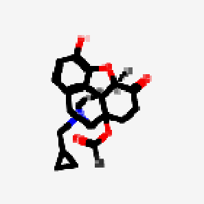 CCC(=O)OC12CCC(=O)[C@@H]3Oc4c(O)ccc5c4[C@@]31CCN(CC1CC1)C2C5